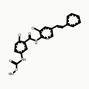 CC(C)(C)OC(=O)Nc1ccc(Cl)c(C(=O)Nc2ncc(/C=C/c3ccccc3)cc2Cl)c1